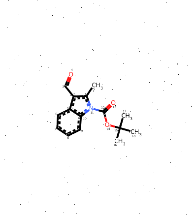 Cc1c(C=O)c2ccccc2n1C(=O)OC(C)(C)C